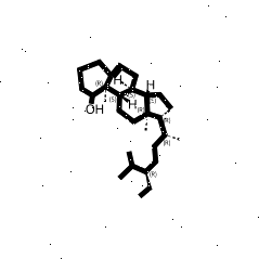 CC[C@H](CC[C@@H](C)[C@H]1CC[C@H]2[C@@H]3CC=C4CCCC(O)[C@]4(C)[C@H]3CC[C@]12C)C(C)C